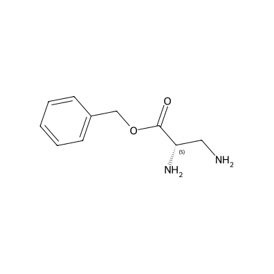 NC[C@H](N)C(=O)OCc1ccccc1